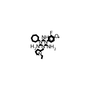 CCN1CCCC1CN1C(N)N(c2ccc(OC)c(F)c2)C(N)N(C2CCCCCC2)C1N